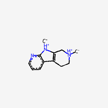 [CH2-][NH+]1CCC2=C(C1)[NH+]([CH2-])c1ncccc12